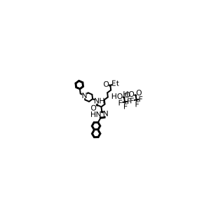 CCC(=O)CCCCCC(C(=O)NC1CCN(Cc2ccccc2)CC1)c1ncc(-c2ccc3ccccc3c2)[nH]1.O=C(O)C(F)(F)F.O=C(O)C(F)(F)F